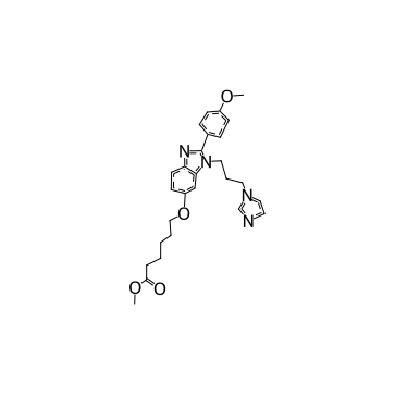 COC(=O)CCCCCOc1ccc2nc(-c3ccc(OC)cc3)n(CCCn3ccnc3)c2c1